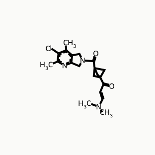 Cc1nc2c(c(C)c1Cl)CN(C(=O)C13CC(C(=O)/C=C/N(C)C)(C1)C3)C2